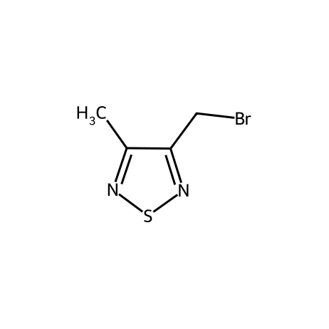 Cc1nsnc1CBr